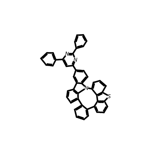 c1ccc(-c2cc(-c3ccc4c(c3)c3cccc5c6ccccc6c6cccc7sc8cccc(c8c76)n4c53)nc(-c3ccccc3)n2)cc1